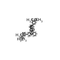 CCC(C)(CC)n1cc(-c2ccnc(N(CC34CCC(c5ccc(OC)c(C)c5)(CC3)CC4)C(=O)C3CCCCC3)c2)cn1